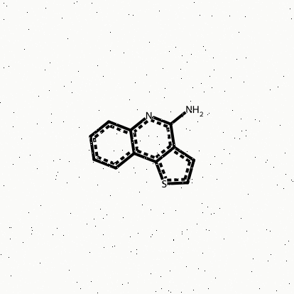 Nc1nc2ccccc2c2sccc12